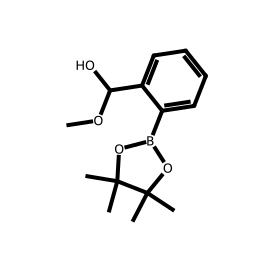 COC(O)c1ccccc1B1OC(C)(C)C(C)(C)O1